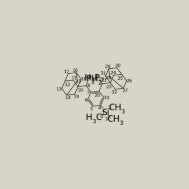 C[Si](C)(C)c1ccc(C(P)C23CC4CC(CC(C4)C2)C3)c(C(P)C23CC4CC(CC(C4)C2)C3)c1